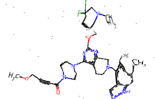 COCC#CC(=O)N1CCN(c2nc(OC[C@@H]3CC(F)(F)CN3C)nc3c2CCN(c2c(C)c(C)cc4[nH]ncc24)C3)CC1